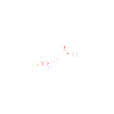 CCOC(Cc1ccc(OCCN(CCC2CCCC2)C(=O)Oc2ccccc2OC(F)(F)F)cc1)C(=O)O